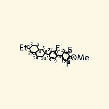 CCC1CCC2CC(c3ccc(-c4cc(F)c(OC)c(F)c4)c(F)c3)CCC2C1